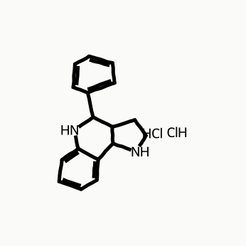 Cl.Cl.c1ccc(C2Nc3ccccc3C3NCCC23)cc1